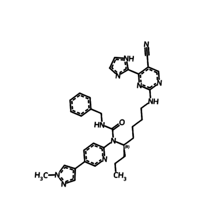 CCC[C@H](CCCCNc1ncc(C#N)c(-c2ncc[nH]2)n1)N(C(=O)NCc1ccccc1)c1ccc(-c2cnn(C)c2)cn1